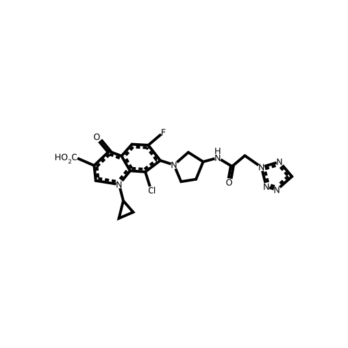 O=C(Cn1ncnn1)NC1CCN(c2c(F)cc3c(=O)c(C(=O)O)cn(C4CC4)c3c2Cl)C1